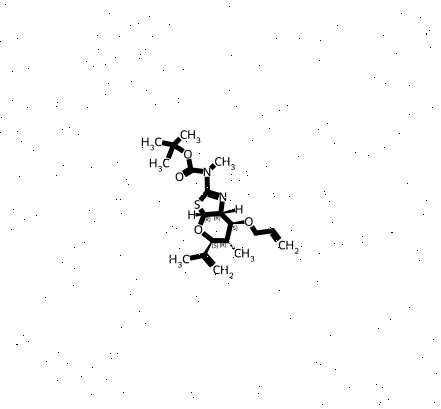 C=CCO[C@H]1[C@H](C)[C@@H](C(=C)C)O[C@@H]2SC(N(C)C(=O)OC(C)(C)C)=N[C@H]12